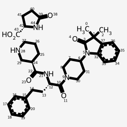 CC1(C)C(=O)N(C2CCN(C(=O)[C@H](CCc3ccccc3)NC(=O)[C@@H]3CCCNC3)CC2)c2ccccc21.O=C1CC[C@@H](C(=O)O)N1